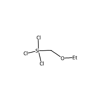 CCOC[Si](Cl)(Cl)Cl